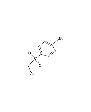 CCc1ccc(S(=O)(=O)CC(C)=O)cc1